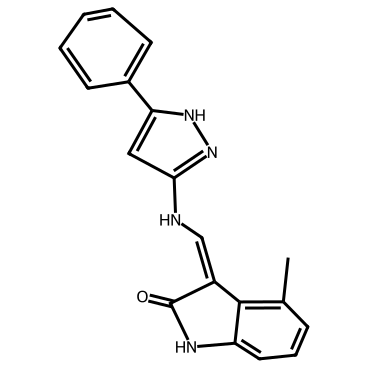 Cc1cccc2c1C(=CNc1cc(-c3ccccc3)[nH]n1)C(=O)N2